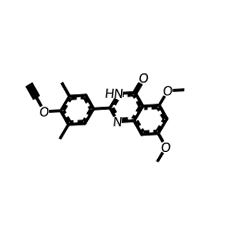 C#COc1c(C)cc(-c2nc3cc(OC)cc(OC)c3c(=O)[nH]2)cc1C